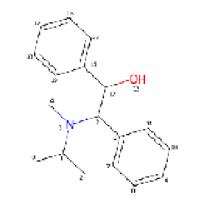 CC(C)N(C)C(c1ccccc1)C(O)c1ccccc1